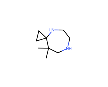 CC1(C)CNCCNC12CC2